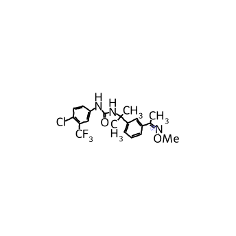 CO/N=C(/C)c1cccc(C(C)(C)NC(=O)Nc2ccc(Cl)c(C(F)(F)F)c2)c1